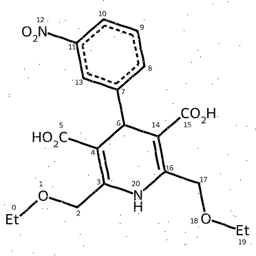 CCOCC1=C(C(=O)O)C(c2cccc([N+](=O)[O-])c2)C(C(=O)O)=C(COCC)N1